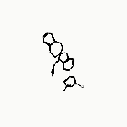 N#CN=C1c2cc(-c3cc(F)cc(Cl)c3)ccc2OC12CCc1ccccc1CC2